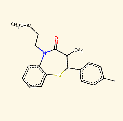 CC(=O)OC1C(=O)N(CCN(C)O)c2ccccc2SC1c1ccc(C)cc1